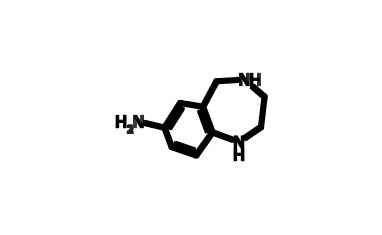 Nc1ccc2c(c1)CNCCN2